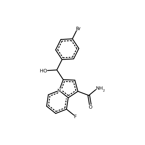 NC(=O)c1cc(C(O)c2ccc(Br)cc2)n2cccc(F)c12